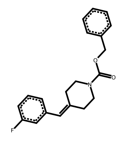 O=C(OCc1ccccc1)N1CCC(=Cc2cccc(F)c2)CC1